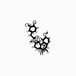 COc1ccc2c3c1O[C@H]1[C@H](N(C)C(=O)Cc4ccc(Cl)c(Cl)c4)CC[C@@]4(O)[C@@H](C2)N(C)CC[C@]314